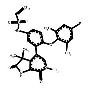 C=CS(=O)(=O)Nc1ccc(Oc2c(C)cc(F)cc2C)c(-c2cn(C)c(=O)c3c2C(C)(C)C(=O)N3)c1